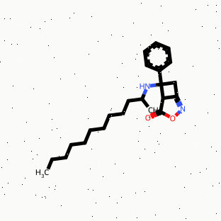 CCCCCCCCCCC(C)NC1(c2ccccc2)CC2=NOC(=O)C21